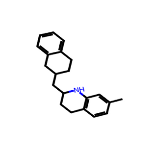 Cc1ccc2c(c1)NC(CC1CCc3ccccc3C1)CC2